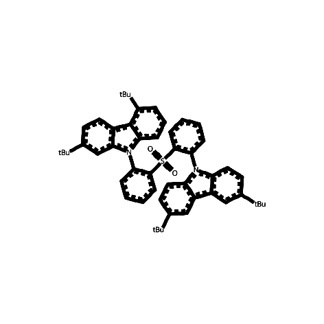 CC(C)(C)c1ccc2c(c1)c1cc(C(C)(C)C)ccc1n2-c1ccccc1S(=O)(=O)c1ccccc1-n1c2cc(C(C)(C)C)ccc2c2c(C(C)(C)C)cccc21